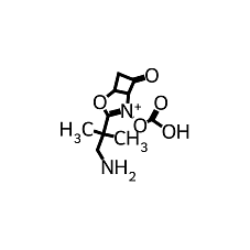 CC(C)(CN)C1=[N+](OC(=O)O)C2C(=O)CC2O1